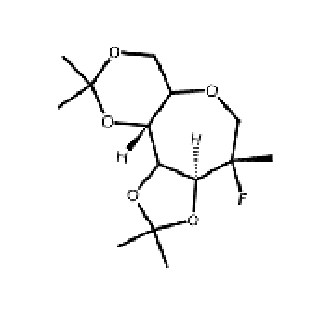 CC1(C)OCC2OC[C@](C)(F)[C@H]3OC(C)(C)OC3[C@@H]2O1